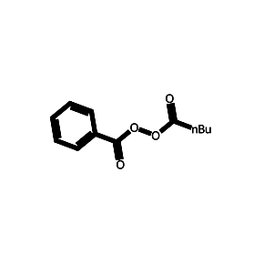 CCCCC(=O)OOC(=O)c1ccccc1